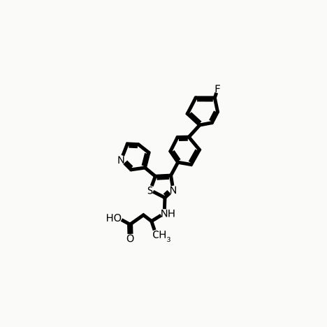 CC(CC(=O)O)Nc1nc(-c2ccc(-c3ccc(F)cc3)cc2)c(-c2cccnc2)s1